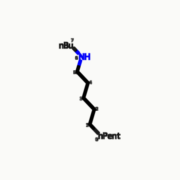 CCCCCCCCC[CH]NCCCC